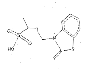 C=C1Sc2ccccc2N1CCC(C)S(=O)(=O)O